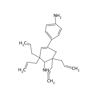 C=CCC1(CC=C)C=C(c2ccc(N)cc2)CC(CC=C)(CC=C)C1N